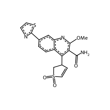 COc1nc2cc(-c3nccs3)ccc2c(C2C=CS(=O)(=O)C2)c1C(N)=O